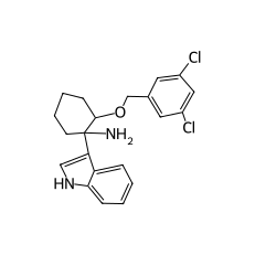 NC1(c2c[nH]c3ccccc23)CCCCC1OCc1cc(Cl)cc(Cl)c1